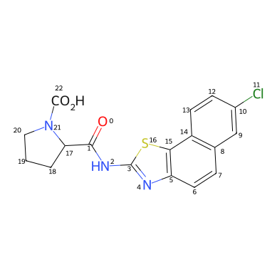 O=C(Nc1nc2ccc3cc(Cl)ccc3c2s1)C1CCCN1C(=O)O